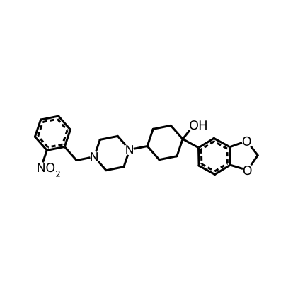 O=[N+]([O-])c1ccccc1CN1CCN(C2CCC(O)(c3ccc4c(c3)OCO4)CC2)CC1